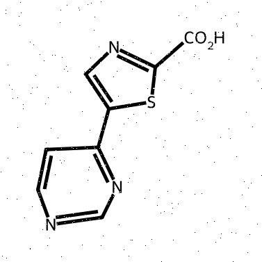 O=C(O)c1ncc(-c2ccncn2)s1